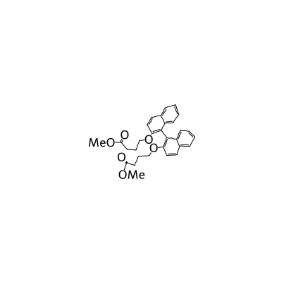 COC(=O)CCCOc1ccc2ccccc2c1-c1c(OCCCC(=O)OC)ccc2ccccc12